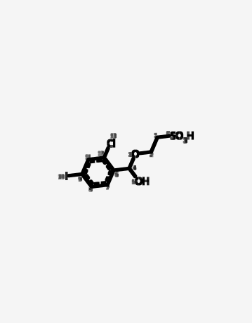 O=S(=O)(O)CCOC(O)c1ccc(I)cc1Cl